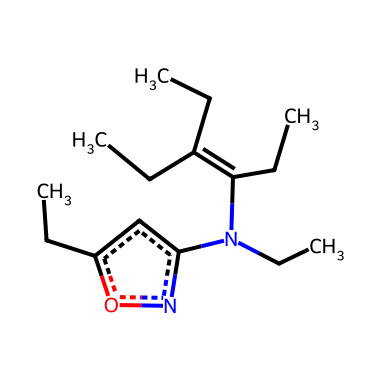 CCC(CC)=C(CC)N(CC)c1cc(CC)on1